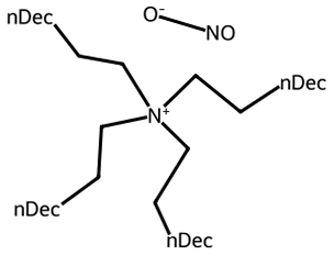 CCCCCCCCCCCC[N+](CCCCCCCCCCCC)(CCCCCCCCCCCC)CCCCCCCCCCCC.O=N[O-]